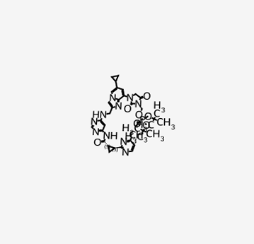 Cc1ccnc([C@H]2C[C@@H]2C(=O)Nc2cc(NCc3cn4cc(C5CC5)cc(N5CC(=O)N(COP(=O)(OC(C)(C)C)OC(C)(C)C)C5=O)c4n3)ncn2)n1